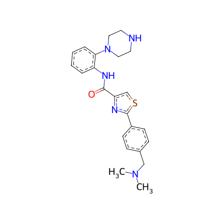 CN(C)Cc1ccc(-c2nc(C(=O)Nc3ccccc3N3CCNCC3)cs2)cc1